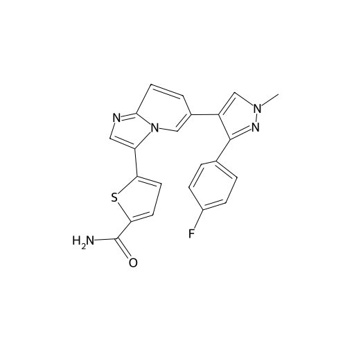 Cn1cc(-c2ccc3ncc(-c4ccc(C(N)=O)s4)n3c2)c(-c2ccc(F)cc2)n1